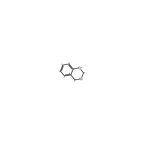 [c]1ccc2c(c1)COCO2